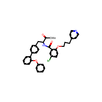 COC(=O)C(Cc1ccc(-c2ccccc2Oc2ccccc2)cc1)NC(=O)c1cc(Br)ccc1OCCCc1ccncc1